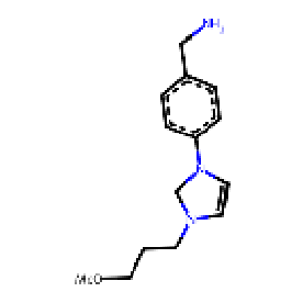 COCCCN1C=CN(c2ccc(CN)cc2)C1